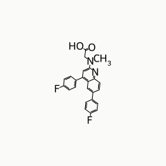 CN(CC(=O)O)c1cc(-c2ccc(F)cc2)c2cc(-c3ccc(F)cc3)ccc2n1